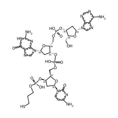 Nc1ccn([C@H]2C[C@@H](OP(=O)(O)OCCCS)[C@@H](COP(=O)(O)O[C@@H]3C[C@H](n4cnc5c(=O)[nH]c(N)nc54)O[C@@H]3COP(=O)(O)O[C@@H]3C[C@H](n4cnc5c(N)ncnc54)O[C@@H]3CO)O2)c(=O)n1